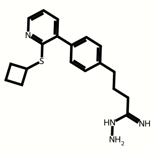 N=C(CCCc1ccc(-c2cccnc2SC2CCC2)cc1)NN